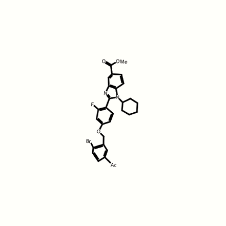 COC(=O)c1ccc2c(c1)nc(-c1ccc(OCc3cc(C(C)=O)ccc3Br)cc1F)n2C1CCCCC1